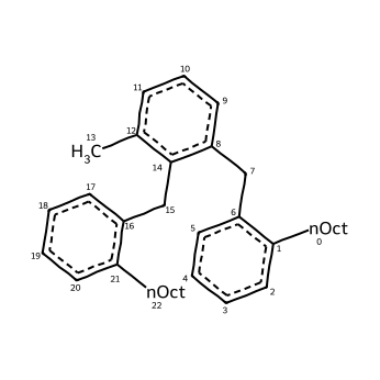 CCCCCCCCc1ccccc1Cc1cccc(C)c1Cc1ccccc1CCCCCCCC